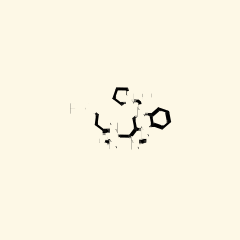 O=C(N1CCCC1)N1Cc2c(-c3noc(CCC(F)(F)F)n3)ncn2-c2ccccc21